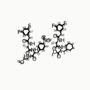 COC(=O)[C@H](CC1CCCCC1)NC(=O)[C@H](C)NC(=O)Cc1cc(F)cc(F)c1.COCCNC(=O)[C@H](Cc1ccc([N+](=O)[O-])cc1)NC(=O)[C@H](C)NC(=O)Cc1cc(F)cc(F)c1